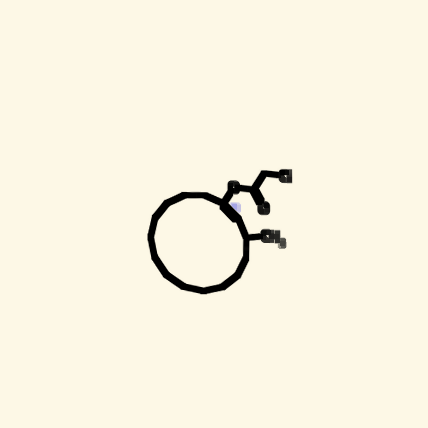 CC1/C=C(/OC(=O)CCl)CCCCCCCCCCCC1